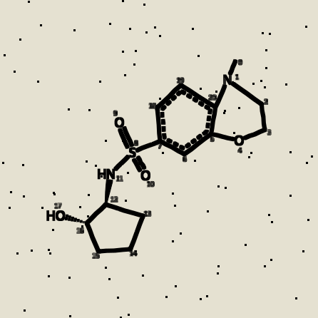 CN1CCOc2cc(S(=O)(=O)N[C@H]3CCC[C@@H]3O)ccc21